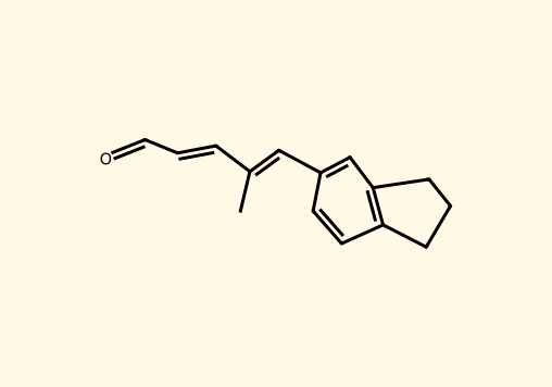 CC(/C=C/C=O)=C\c1ccc2c(c1)CCC2